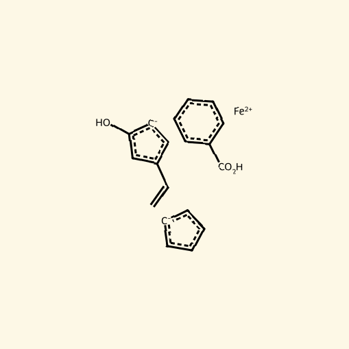 C=Cc1c[cH-]c(O)c1.O=C(O)c1ccccc1.[Fe+2].c1cc[cH-]c1